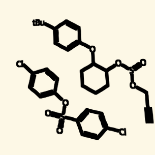 C#CCOS(=O)OC1CCCCC1Oc1ccc(C(C)(C)C)cc1.O=S(=O)(Oc1ccc(Cl)cc1)c1ccc(Cl)cc1